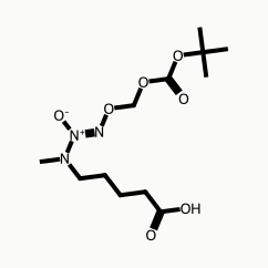 CN(CCCCC(=O)O)[N+]([O-])=NOCOC(=O)OC(C)(C)C